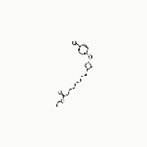 CCOC(=O)CCCCCCC[C@H]1C[C@H](Oc2ccc(Cl)cc2)C1